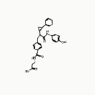 O=C(O)CCNC(=O)c1ccc(CN(C(=O)Nc2ccc(O)cc2)C2CC2c2ccccc2)cc1